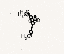 CCN(CC)c1ccc2c(c1)Oc1cc(C#Cc3ccc(OC)cc3)ccc1C21OC(=O)c2ccccc21